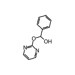 OC(Oc1ncccn1)c1ccccc1